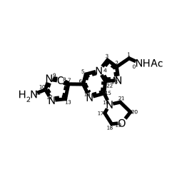 CC(=O)NCc1cn2cc(-c3cnc(N)nc3)nc(N3CCOCC3)c2n1